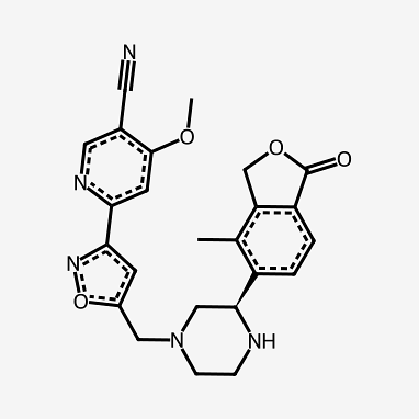 COc1cc(-c2cc(CN3CCN[C@H](c4ccc5c(c4C)COC5=O)C3)on2)ncc1C#N